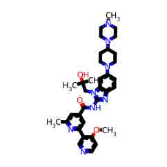 COc1ccncc1-c1cc(C(=O)Nc2nc3ccc(N4CCC(N5CCN(C)CC5)CC4)cc3n2CC(C)(C)O)cc(C)n1